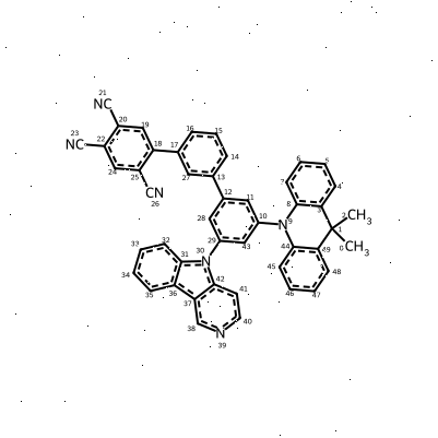 CC1(C)c2ccccc2N(c2cc(-c3cccc(-c4cc(C#N)c(C#N)cc4C#N)c3)cc(-n3c4ccccc4c4cnccc43)c2)c2ccccc21